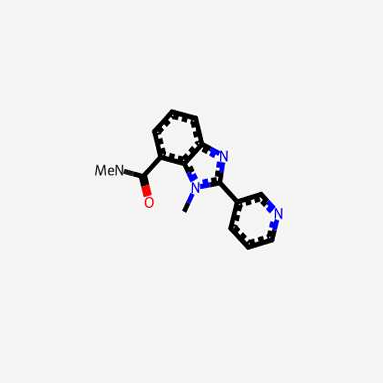 CNC(=O)c1cccc2nc(-c3cccnc3)n(C)c12